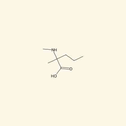 CCCC(C)(NC)C(=O)O